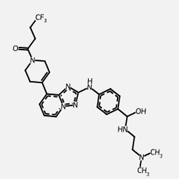 CN(C)CCNC(O)c1ccc(Nc2nc3c(C4=CCN(C(=O)CCC(F)(F)F)CC4)cccn3n2)cc1